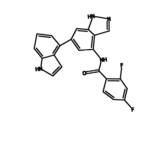 O=C(Nc1cc(-c2cccc3[nH]ccc23)cc2[nH]ncc12)c1ccc(F)cc1F